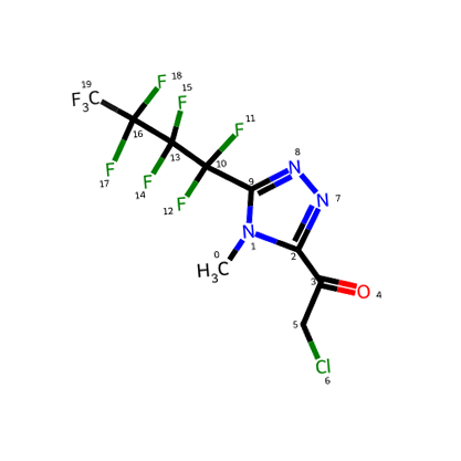 Cn1c(C(=O)CCl)nnc1C(F)(F)C(F)(F)C(F)(F)C(F)(F)F